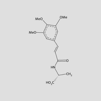 COc1cc(/C=C/C(=O)N[C@H](C)C(=O)O)cc(OC)c1OC